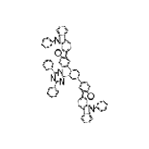 c1ccc(-c2nc(-c3ccccc3)nc(-c3cc(-c4ccc5oc6c(ccc7c8ccccc8n(-c8ccccc8)c76)c5c4)ccc3-c3ccc4oc5c(ccc6c7ccccc7n(-c7ccccc7)c65)c4c3)n2)cc1